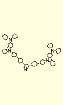 c1ccc(N(c2ccccc2)c2ccc3c(c2)c2ccccc2n3-c2ccc(-c3ccc(-c4cncc(-c5ccc(-c6ccc(-n7c8ccccc8c8cc(N(c9ccccc9)c9ccccc9)ccc87)cc6)cc5)c4)cc3)cc2)cc1